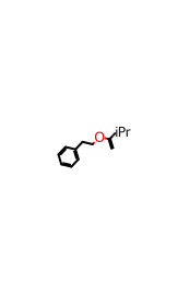 C=C(OCCc1ccccc1)C(C)C